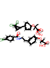 CC(C)(Oc1ccc(C2CC2(Cl)Cl)cc1)C(=O)O.CC(C)(Oc1ccc(CCNC(=O)c2ccc(Cl)cc2)cc1)C(=O)O